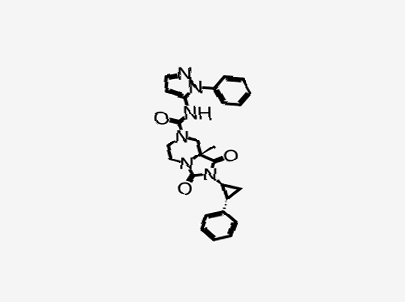 C[C@]12CN(C(=O)Nc3ccnn3-c3ccccc3)CCN1C(=O)N([C@H]1C[C@@H]1c1ccccc1)C2=O